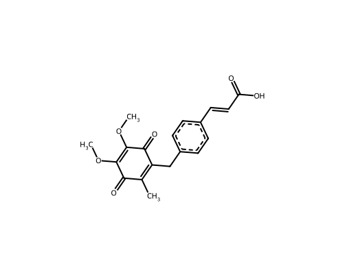 COC1=C(OC)C(=O)C(Cc2ccc(C=CC(=O)O)cc2)=C(C)C1=O